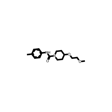 COCCOC1CCN(C(=O)Nc2ccc(C)cc2)CC1